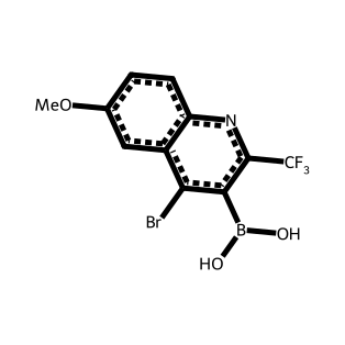 COc1ccc2nc(C(F)(F)F)c(B(O)O)c(Br)c2c1